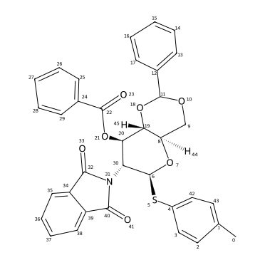 Cc1ccc(S[C@@H]2O[C@@H]3COC(c4ccccc4)O[C@H]3[C@H](OC(=O)c3ccccc3)[C@H]2N2C(=O)c3ccccc3C2=O)cc1